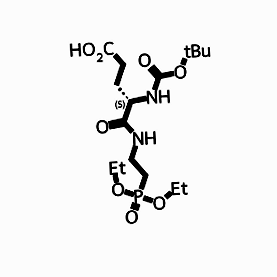 CCOP(=O)(CCNC(=O)[C@H](CCC(=O)O)NC(=O)OC(C)(C)C)OCC